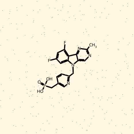 Cc1ncc2c(n1)c1c(F)cc(F)cc1n2Cc1ccc(CP(=O)(O)O)cn1